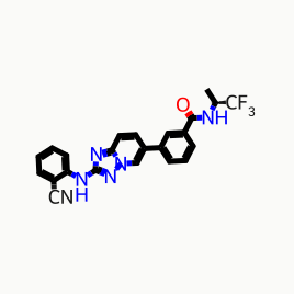 C[C@H](NC(=O)c1cccc(-c2ccc3nc(Nc4ccccc4C#N)nn3c2)c1)C(F)(F)F